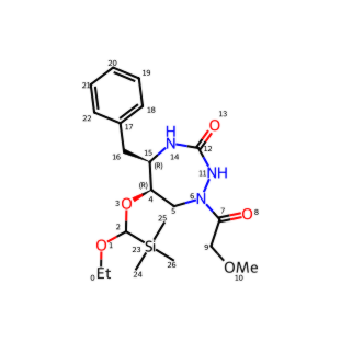 CCOC(O[C@@H]1CN(C(=O)COC)NC(=O)N[C@@H]1Cc1ccccc1)[Si](C)(C)C